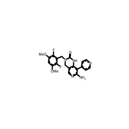 COc1cc(OC)c(F)c(CN2Cc3cnc(N)c(-c4ccncc4)c3NC2=O)c1F